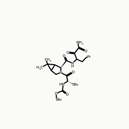 CC(C)CC(NC(=O)[C@@H]1C2C(CN1C(=O)[C@@H](NC(=O)OC(C)(C)C)C(C)(C)C)C2(C)C)C(=O)C(N)=O